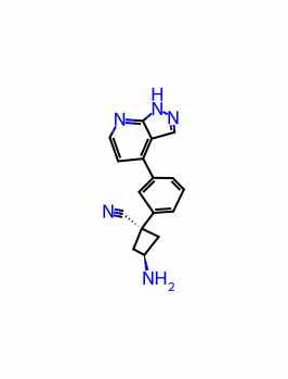 N#C[C@]1(c2cccc(-c3ccnc4[nH]ncc34)c2)C[C@@H](N)C1